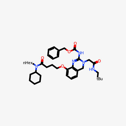 CCCCCCN(C(=O)CCCOc1cccc2c1N=C(NC(=O)OCc1ccccc1)N(CC(=O)NCC(C)(C)C)C2)C1CCCCC1